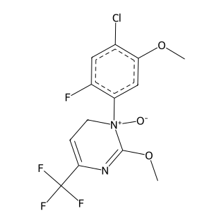 COC1=NC(C(F)(F)F)=CC[N+]1([O-])c1cc(OC)c(Cl)cc1F